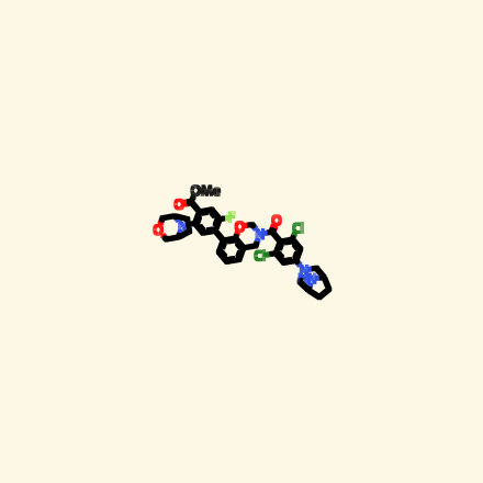 COC(=O)c1cc(F)c(-c2cccc3c2OCN(C(=O)c2c(Cl)cc(N4CC5CCC(C4)N5)cc2Cl)C3)cc1N1C2CCC1COC2